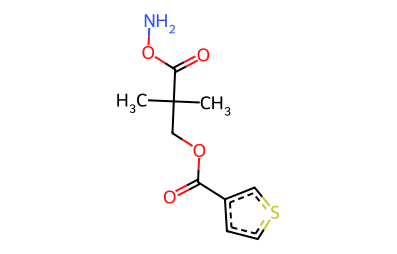 CC(C)(COC(=O)c1ccsc1)C(=O)ON